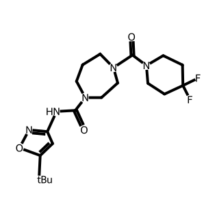 CC(C)(C)c1cc(NC(=O)N2CCCN(C(=O)N3CCC(F)(F)CC3)CC2)no1